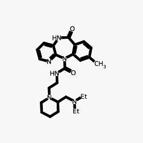 CCN(CC)CC1CCCCN1CCNC(=O)N1c2cc(C)ccc2C(=O)Nc2cccnc21